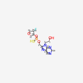 OCCn1c(COP(S)O[C@H]2COCC2F)nc2cncnc21